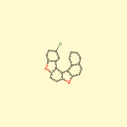 Clc1ccc2oc3ccc4oc5ccc6ccccc6c5c4c3c2c1